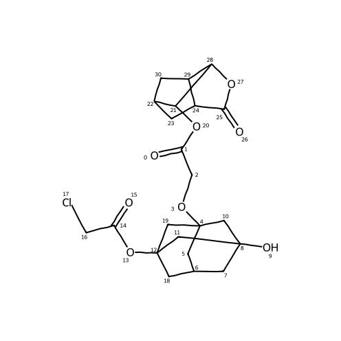 O=C(COC12CC3CC(O)(C1)CC(OC(=O)CCl)(C3)C2)OC1C2CC3C(=O)OC1C3C2